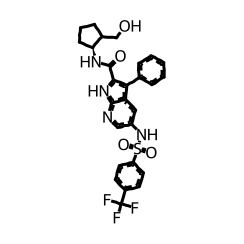 O=C(N[C@H]1CCCC1CO)c1[nH]c2ncc(NS(=O)(=O)c3ccc(C(F)(F)F)cc3)cc2c1-c1ccccc1